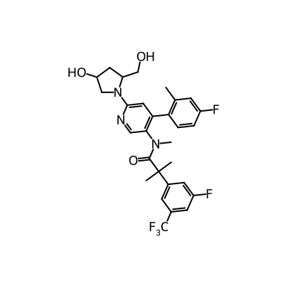 Cc1cc(F)ccc1-c1cc(N2CC(O)CC2CO)ncc1N(C)C(=O)C(C)(C)c1cc(F)cc(C(F)(F)F)c1